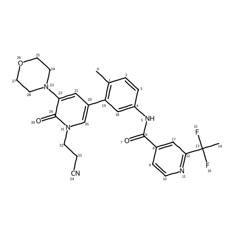 Cc1ccc(NC(=O)c2ccnc(C(C)(F)F)c2)cc1-c1cc(N2CCOCC2)c(=O)n(CCC#N)c1